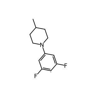 CC1CCN(c2cc(F)[c]c(F)c2)CC1